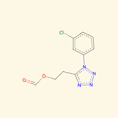 O=[C]OCCc1nnnn1-c1cccc(Cl)c1